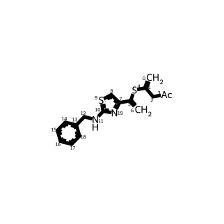 C=C(CC(C)=O)SC(=C)c1csc(NCc2ccccc2)n1